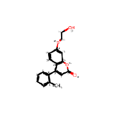 Cc1ccccc1-c1cc(=O)oc2cc(OCCO)ccc12